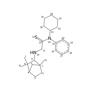 CC12CCC(C1)C(C)(C)C2NCC(=S)N(c1ccccc1)C1CCCCC1